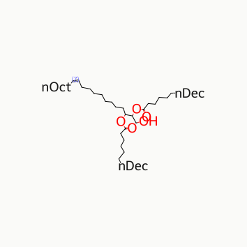 CCCCCCCC/C=C\CCCCCCCCC(OC(=O)CCCCCCCCCCCCCCC)C(CO)OC(=O)CCCCCCCCCCCCCCC